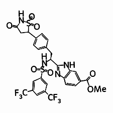 COC(=O)c1ccc2nc([C@H](Cc3ccc(C4CC(=O)NS4(=O)=O)cc3)NS(=O)(=O)c3cc(C(F)(F)F)cc(C(F)(F)F)c3)[nH]c2c1